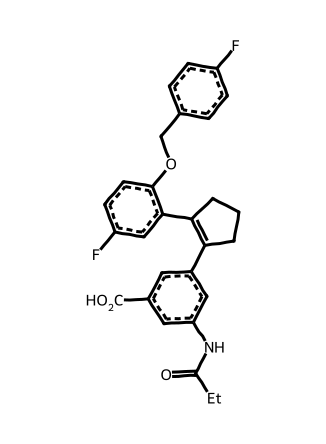 CCC(=O)Nc1cc(C(=O)O)cc(C2=C(c3cc(F)ccc3OCc3ccc(F)cc3)CCC2)c1